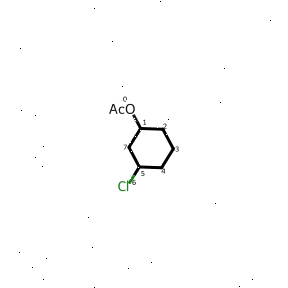 CC(=O)OC1CCCC(Cl)C1